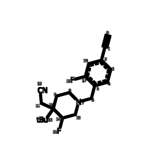 C#Cc1ccc(CN2CCC(CC#N)(C(C)(C)C)C(F)C2)c(F)c1